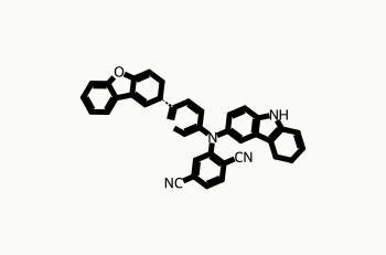 C=C(/C=C\C(=C/C)N(c1ccc2[nH]c3c(c2c1)CCC=C3)c1cc(C#N)ccc1C#N)[C@@H]1C=c2c(oc3ccccc23)=CC1